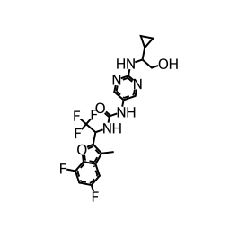 Cc1c(C(NC(=O)Nc2cnc(NC(CO)C3CC3)nc2)C(F)(F)F)oc2c(F)cc(F)cc12